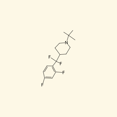 CC(C)(C)N1CCC(C(F)(F)c2ccc(F)cc2F)CC1